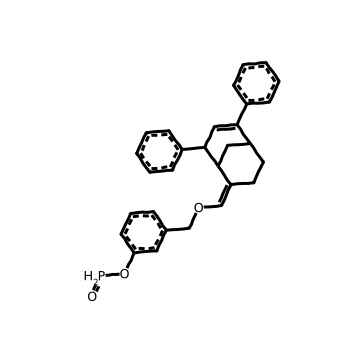 O=[PH2]Oc1cccc(COC=C2CCC3CC2C(c2ccccc2)C=C3c2ccccc2)c1